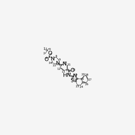 CC(C)(C)OC(=O)N1CCN(c2ccc(C(=O)Nc3nc4c(s3)CCc3ccccc3-4)cn2)CC1